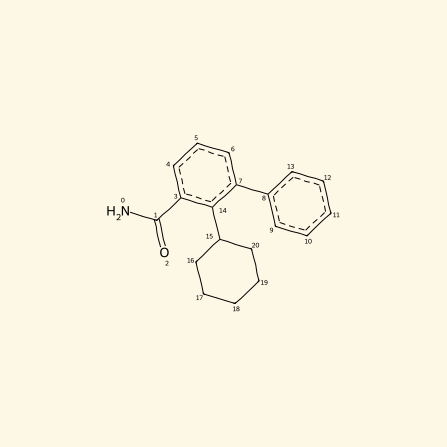 NC(=O)c1cccc(-c2ccccc2)c1C1CCCCC1